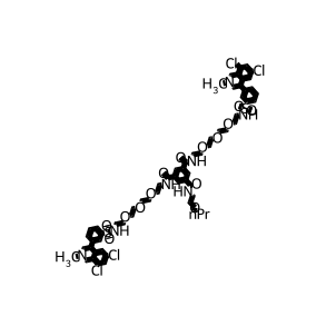 CCCOCCNC(=O)c1cc(C(=O)NCCOCCOCCOCCNS(=O)(=O)c2cccc(C3CN(C)Cc4c(Cl)cc(Cl)cc43)c2)cc(C(=O)NCCOCCOCCOCCNS(=O)(=O)c2cccc(C3CN(C)Cc4c(Cl)cc(Cl)cc43)c2)c1